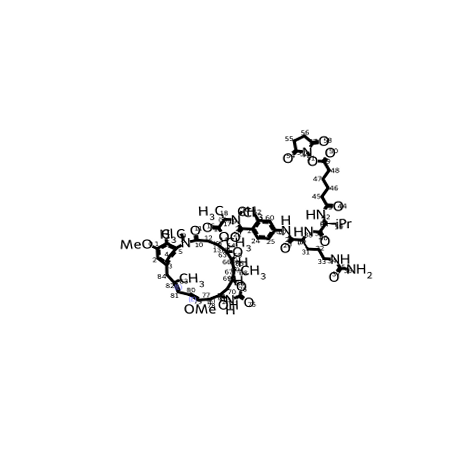 COc1cc2cc(c1Cl)N(C)C(=O)C[C@H](OC(=O)[C@H](C)N(C)C(=O)c1ccc(NC(=O)[C@H](CCCNC(N)=O)NC(=O)[C@@H](NC(=O)CCCCC(=O)ON3C(=O)CCC3=O)C(C)C)cc1Cl)[C@]1(C)O[C@H]1[C@H](C)[C@@H]1C[C@@](O)(NC(=O)O1)[C@H](OC)/C=C/C=C(\C)C2